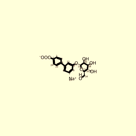 O=C([O-])c1ccc(-c2cccc(O[C@H]3O[C@H](CO)[C@@H](O)[C@H](O)[C@@H]3O)c2)cc1.[Na+]